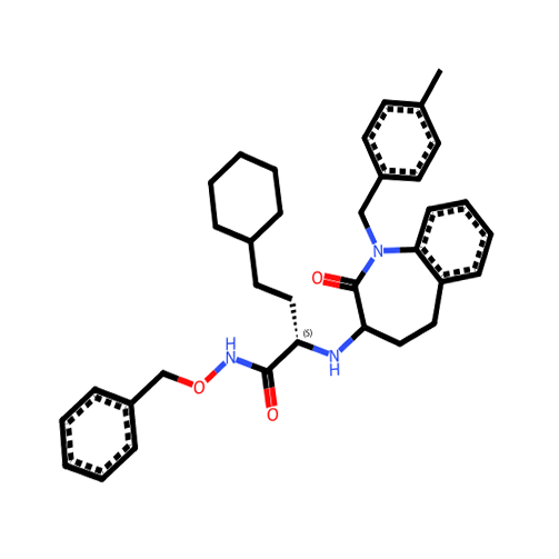 Cc1ccc(CN2C(=O)C(N[C@@H](CCC3CCCCC3)C(=O)NOCc3ccccc3)CCc3ccccc32)cc1